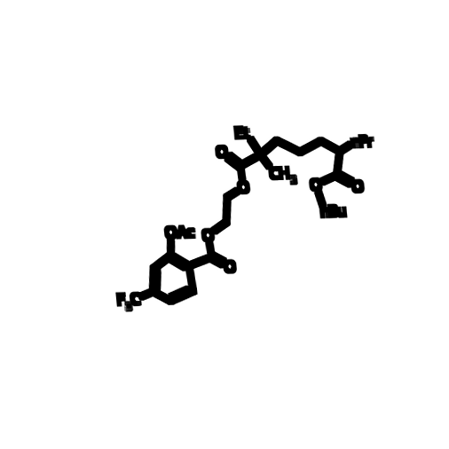 CCCCOC(=O)C(CCC)CCCC(C)(CC)C(=O)OCCOC(=O)c1ccc(C(F)(F)F)cc1OC(C)=O